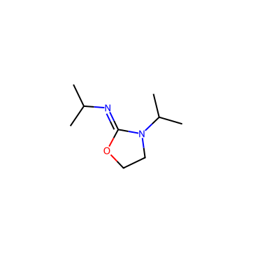 CC(C)N=C1OCCN1C(C)C